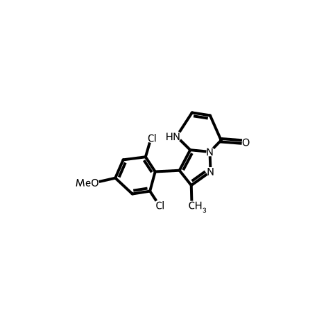 COc1cc(Cl)c(-c2c(C)nn3c(=O)cc[nH]c23)c(Cl)c1